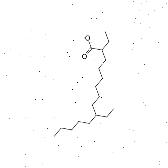 CCCCCC(CC)CCCCCCC(CC)C([O])=O